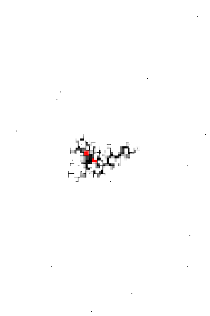 CC(=O)c1c([C@H]2C[C@H]3CC[C@@H](C2)N3C(=O)c2nnc[nH]2)nc2c(-c3cnc(-c4ccn(C)n4)c(C)c3)cnn2c1N